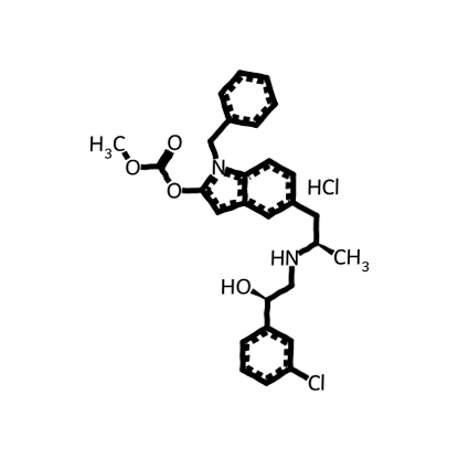 COC(=O)Oc1cc2cc(C[C@@H](C)NC[C@H](O)c3cccc(Cl)c3)ccc2n1Cc1ccccc1.Cl